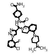 CN(C)C1CCN(c2cccc3c2CCN(C(=O)c2cn(-c4cccc(Cl)c4F)nn2)[C@@H]3C(=O)Nc2ccc(C(N)=O)cc2)CC1